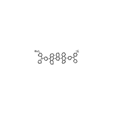 CSc1ccc(N(c2ccccc2)c2ccc(-c3c4ccccc4c(-c4ccc(-c5c6ccccc6c(-c6ccc(N(c7ccccc7)c7ccc([Si](C)(C)C)cc7)cc6)c6ccccc56)c5ccccc45)c4ccccc34)cc2)cc1